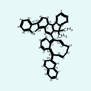 CC1(C)c2ccccc2-c2c1c(C1=c3\cccc\c3=C(c3ccc4ccccc4c3)\C=C\CC\C=C\1)cc1c2ccc2c3ccccc3sc12